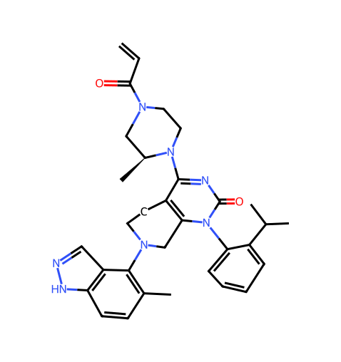 C=CC(=O)N1CCN(c2nc(=O)n(-c3ccccc3C(C)C)c3c2CCN(c2c(C)ccc4[nH]ncc24)C3)[C@@H](C)C1